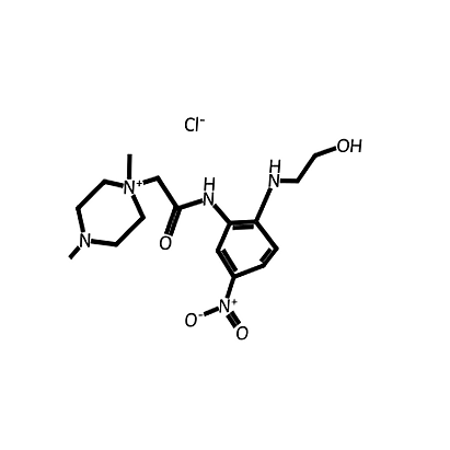 CN1CC[N+](C)(CC(=O)Nc2cc([N+](=O)[O-])ccc2NCCO)CC1.[Cl-]